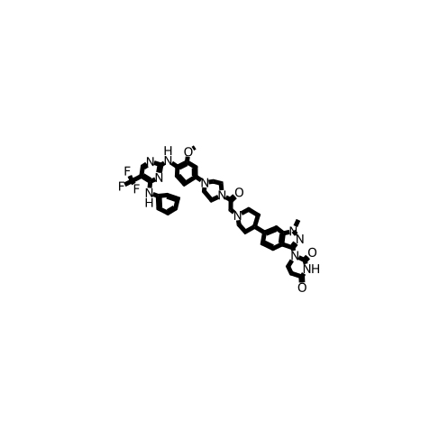 COc1cc(N2CCN(C(=O)CN3CCC(c4ccc5c(N6CCC(=O)NC6=O)nn(C)c5c4)CC3)CC2)ccc1Nc1ncc(C(F)(F)F)c(Nc2ccccc2)n1